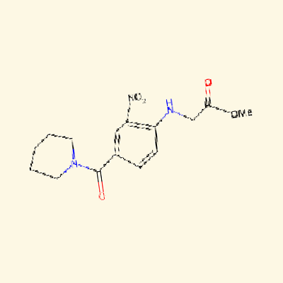 COC(=O)CNc1ccc(C(=O)N2CCCCC2)cc1[N+](=O)[O-]